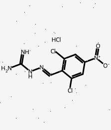 Cl.N=C(N)NN=Cc1c(Cl)cc([N+](=O)[O-])cc1Cl